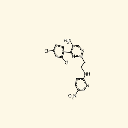 Nc1cnc([CH]CNc2ccc([N+](=O)[O-])cn2)nc1-c1ccc(Cl)cc1Cl